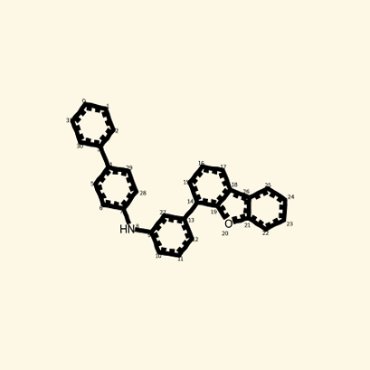 c1ccc(-c2ccc(Nc3cccc(-c4cccc5c4oc4ccccc45)c3)cc2)cc1